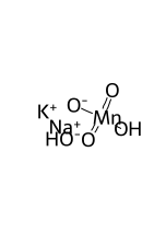 [K+].[Na+].[OH-].[O]=[Mn](=[O])([O-])[OH]